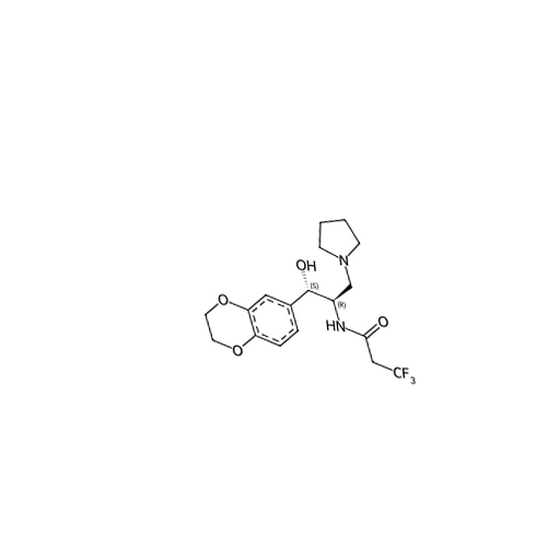 O=C(CC(F)(F)F)N[C@H](CN1CCCC1)[C@@H](O)c1ccc2c(c1)OCCO2